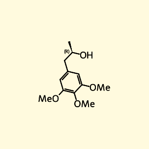 COc1cc(C[C@@H](C)O)cc(OC)c1OC